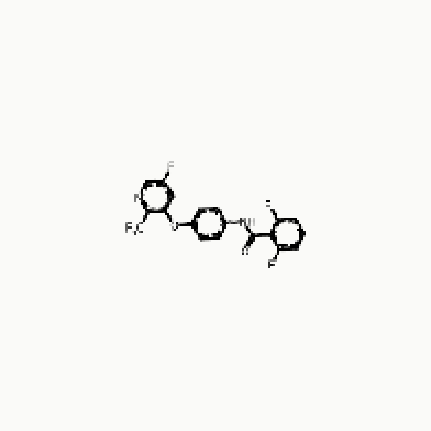 O=C(Nc1ccc(Oc2cc(F)cnc2C(F)(F)F)cc1)c1c(F)cccc1F